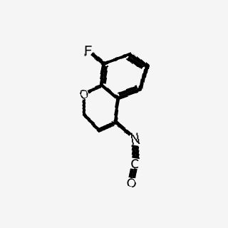 O=C=NC1CCOc2c(F)cccc21